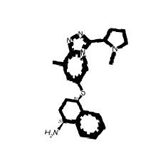 Cc1cc(O[C@@H]2CC[C@H](N)c3ccccc32)cn2c(C3CCCN3C)nnc12